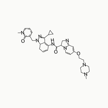 CN1CCN(CCOC2=CC3=NCC(C(=O)NC4=C5C(C6CC6)=NN(Cc6cccn(C)c6=O)C5CC=C4)N3C=C2)CC1